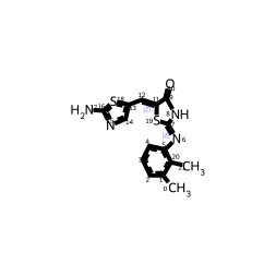 Cc1cccc(/N=C2/NC(=O)/C(=C/c3cnc(N)s3)S2)c1C